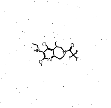 CCNc1c(OC)nc2c(c1Cl)C(C)CN(C(=O)C(F)(F)F)CC2